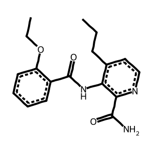 CCCc1ccnc(C(N)=O)c1NC(=O)c1ccccc1OCC